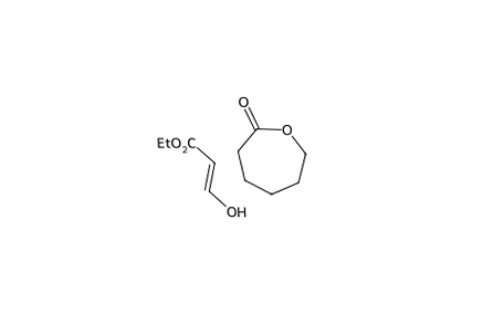 CCOC(=O)C=CO.O=C1CCCCCO1